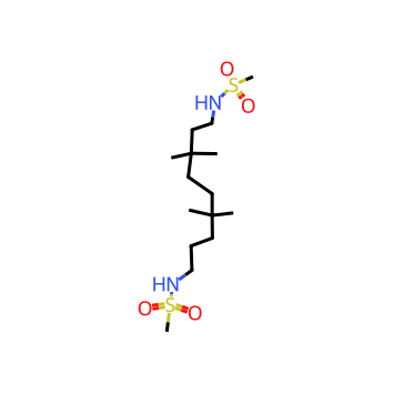 CC(C)(CCCNS(C)(=O)=O)CCC(C)(C)CCNS(C)(=O)=O